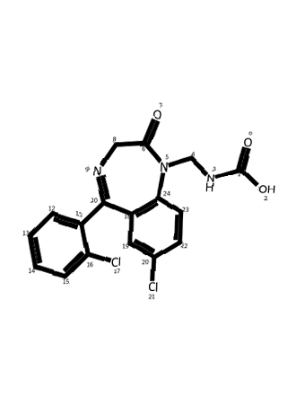 O=C(O)NCN1C(=O)CN=C(c2ccccc2Cl)c2cc(Cl)ccc21